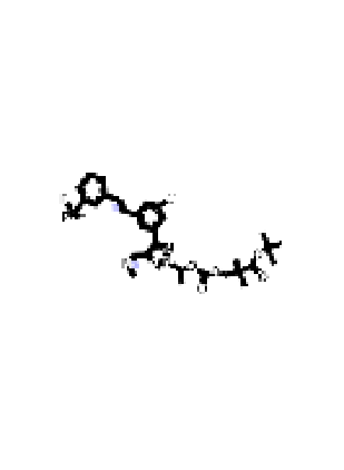 C/N=C\c1nn(C(C)OC(=O)OCC(C)(C)C(=O)OC(C)(C)C)nc1-c1cc(Cl)cc(/C=C/c2cccc(C(F)(F)F)c2)c1